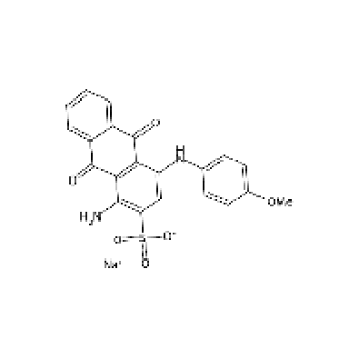 COc1ccc(Nc2cc(S(=O)(=O)[O-])c(N)c3c2C(=O)c2ccccc2C3=O)cc1.[Na+]